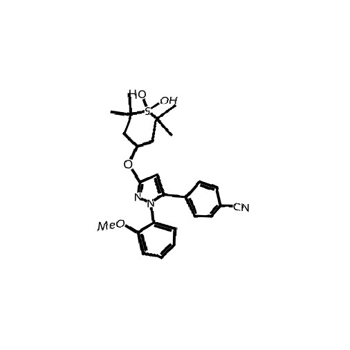 COc1ccccc1-n1nc(OC2CC(C)(C)S(O)(O)C(C)(C)C2)cc1-c1ccc(C#N)cc1